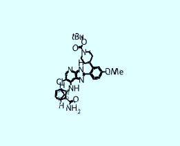 COc1ccc(-c2nc3c(N[C@H]4[C@@H](C(N)=O)[C@@H]5C=C[C@H]4C5)c(Cl)cnc3[nH]2)c(C2CCN(C(=O)OC(C)(C)C)CC2)c1